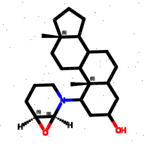 C[C@@]12CCCC1C1CCC3CC(O)CC(N4CCC[C@@H]5O[C@@H]54)[C@]3(C)C1CC2